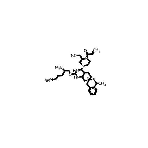 C=CC(=O)N1CCN(C2NC(OCC(C)CCCNC)NC3C[C@]4(CCC32)Cc2ccccc2C(C)S4)CC1CC#N